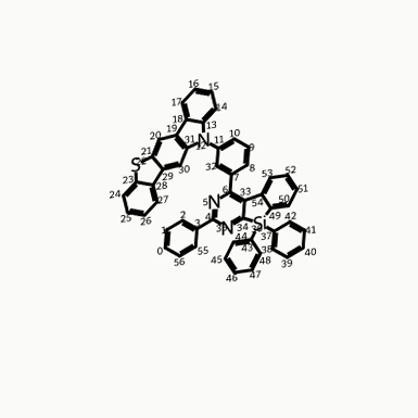 c1ccc(-c2nc(-c3cccc(-n4c5ccccc5c5cc6sc7ccccc7c6cc54)c3)c3c(n2)[Si](c2ccccc2)(c2ccccc2)c2ccccc2-3)cc1